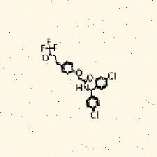 O=C(COc1ccc(CCC(=O)C(F)(F)F)cc1)NC(c1ccc(Cl)cc1)c1ccc(Cl)cc1